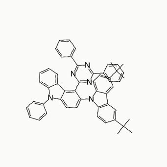 CC(C)(C)c1ccc2c(c1)c1cc(C(C)(C)C)ccc1n2-c1ccc2c(c1-c1nc(-c3ccccc3)nc(-c3ccccc3)n1)c1ccccc1n2-c1ccccc1